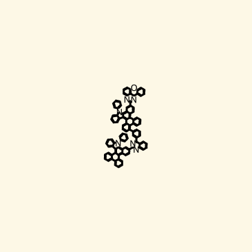 c1ccc(-n2c3ccccc3c3c4c5ccccc5c5ccccc5c4c4ccc(-c5nc(-c6cccc(-c7cccc8c7c7ccccc7c7c9ccc(-c%10nc%11c%12c(cccc%12n%10)Oc%10ccccc%10-%11)cc9c9c(c%10ccccc%10n9-c9ccccc9)c87)c6)c6ccccc6n5)cc4c32)cc1